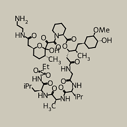 CCS(=O)(=O)NC(=O)[C@H](CC(C)C)NC(=O)[C@H](C)NC(=O)[C@@H](NC(=O)CNC(=O)C[C@H](OC(=O)[C@@H]1CCCCN1C(=O)C(=O)C1(O)O[C@H](CC(=O)NCCN)CC[C@H]1C)[C@H](C)C[C@@H]1CC[C@@H](O)[C@H](OC)C1)C(C)C